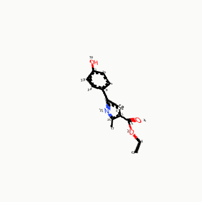 CCOC(=O)c1[se]c(-c2ccc(O)cc2)nc1C